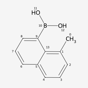 Cc1cccc2cccc(B(O)O)c12